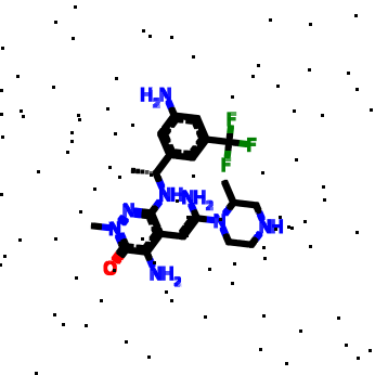 CC1CNCCN1/C(N)=C/c1c(N[C@H](C)c2cc(N)cc(C(F)(F)F)c2)nn(C)c(=O)c1N